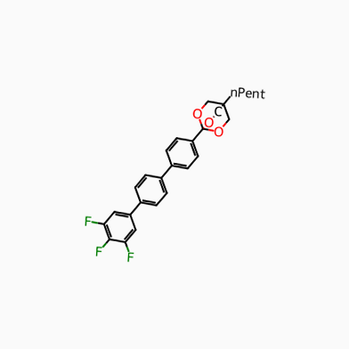 CCCCCC12COC(c3ccc(-c4ccc(-c5cc(F)c(F)c(F)c5)cc4)cc3)(OC1)OC2